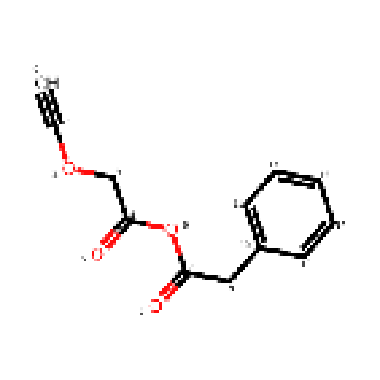 C#COCC(=O)OC(=O)Cc1ccccc1